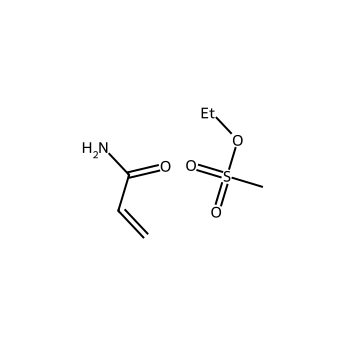 C=CC(N)=O.CCOS(C)(=O)=O